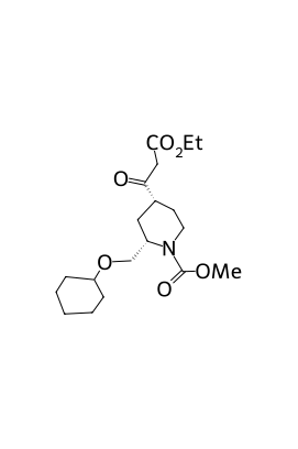 CCOC(=O)CC(=O)[C@@H]1CCN(C(=O)OC)[C@H](COC2CCCCC2)C1